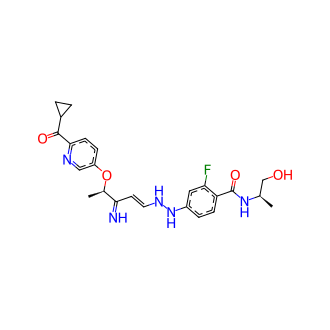 C[C@H](CO)NC(=O)c1ccc(NN/C=C/C(=N)[C@@H](C)Oc2ccc(C(=O)C3CC3)nc2)cc1F